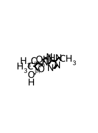 CNc1ncnc2c1ncn2[C@@H]1O[C@H](CO)C(C)[C@]1(C)O